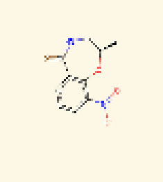 C[C@@H]1CNC(=S)c2cccc([N+](=O)[O-])c2O1